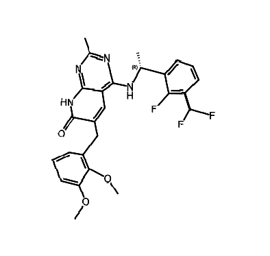 COc1cccc(Cc2cc3c(N[C@H](C)c4cccc(C(F)F)c4F)nc(C)nc3[nH]c2=O)c1OC